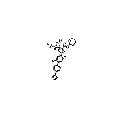 C[C@@](CCn1cc(F)c(-c2ccc(-c3ccon3)cc2)cc1=O)(C(=O)NOC1CCCCO1)S(C)(=O)=O